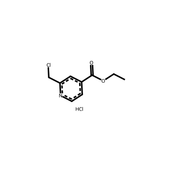 CCOC(=O)c1ccnc(CCl)c1.Cl